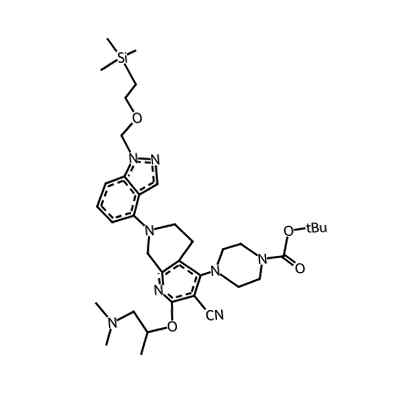 CC(CN(C)C)Oc1nc2c(c(N3CCN(C(=O)OC(C)(C)C)CC3)c1C#N)CCN(c1cccc3c1cnn3COCC[Si](C)(C)C)C2